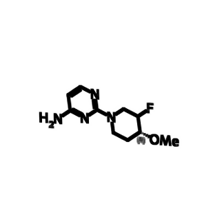 CO[C@@H]1CCN(c2nccc(N)n2)CC1F